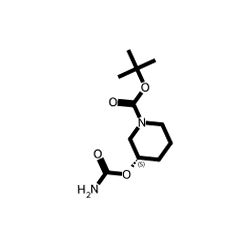 CC(C)(C)OC(=O)N1CCC[C@H](OC(N)=O)C1